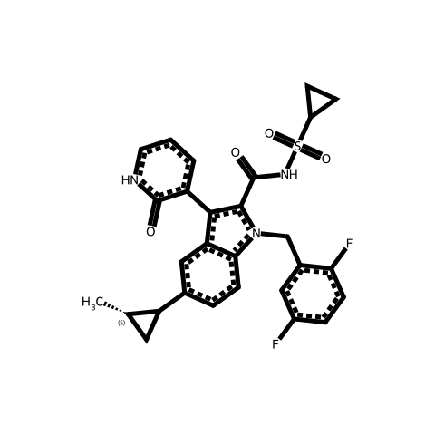 C[C@H]1CC1c1ccc2c(c1)c(-c1ccc[nH]c1=O)c(C(=O)NS(=O)(=O)C1CC1)n2Cc1cc(F)ccc1F